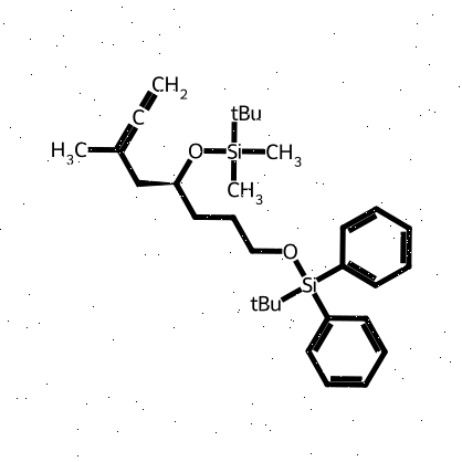 C=C=C(C)C[C@H](CCCO[Si](c1ccccc1)(c1ccccc1)C(C)(C)C)O[Si](C)(C)C(C)(C)C